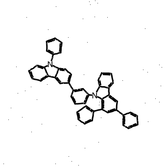 c1ccc(-c2cc(-c3ccccc3)c3c(c2)c2ccccc2n3-c2cccc(-c3ccc4c(c3)c3ccccc3n4-c3ccccc3)c2)cc1